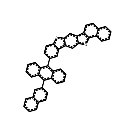 c1ccc2cc(-c3c4ccccc4c(-c4ccc5sc6cc7c(cc6c5c4)oc4c5ccccc5ccc74)c4ccccc34)ccc2c1